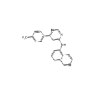 FC(F)(F)c1ccc(-c2cc(Nc3cccc4cnccc34)ncn2)cc1